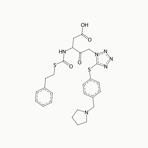 O=C(O)CC(NC(=O)SCCc1ccccc1)C(=O)Cn1nnnc1Sc1ccc(CN2CCCC2)cc1